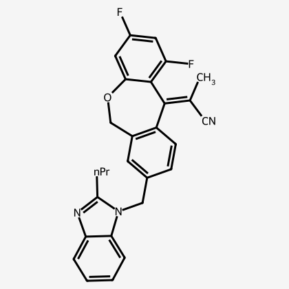 CCCc1nc2ccccc2n1Cc1ccc2c(c1)COc1cc(F)cc(F)c1/C2=C(\C)C#N